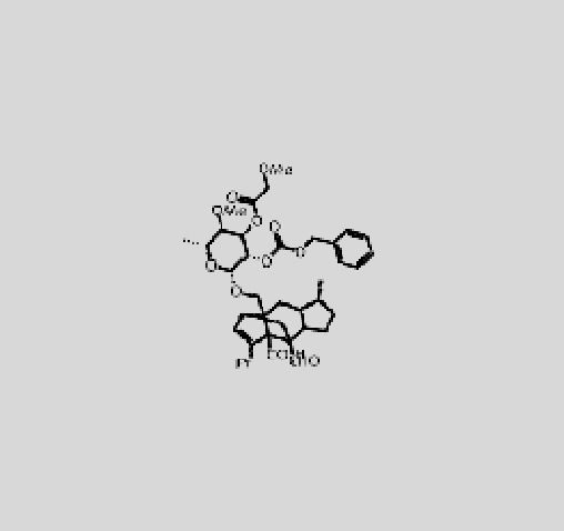 COCC(=O)O[C@H]1[C@H](OC(=O)OCc2ccccc2)[C@H](OCC23CC4C(C)CCC4C4(C=O)CC2C=C(C(C)C)C43C(=O)O)O[C@H](C)[C@H]1OC